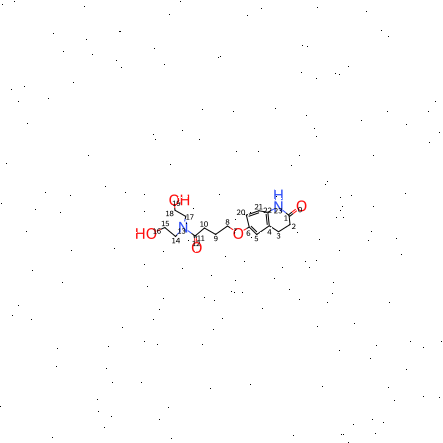 O=C1CCc2cc(OCCCC(=O)N(CCO)CCO)ccc2N1